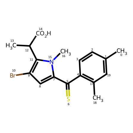 Cc1ccc(C(=S)c2cc(Br)c(C(C)C(=O)O)n2C)c(C)c1